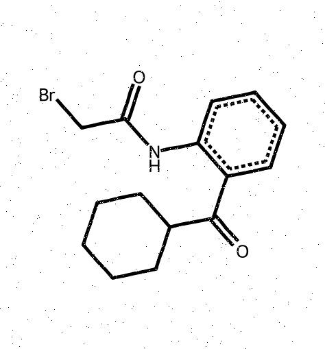 O=C(CBr)Nc1ccccc1C(=O)C1CCCCC1